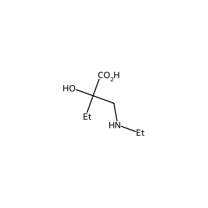 CCNCC(O)(CC)C(=O)O